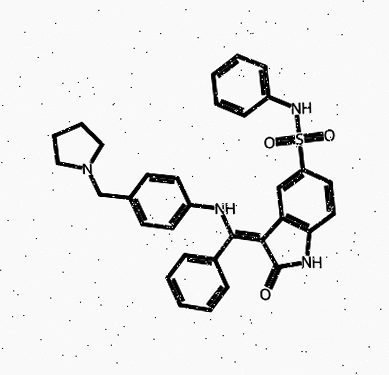 O=C1Nc2ccc(S(=O)(=O)Nc3ccccc3)cc2C1=C(Nc1ccc(CN2CCCC2)cc1)c1ccccc1